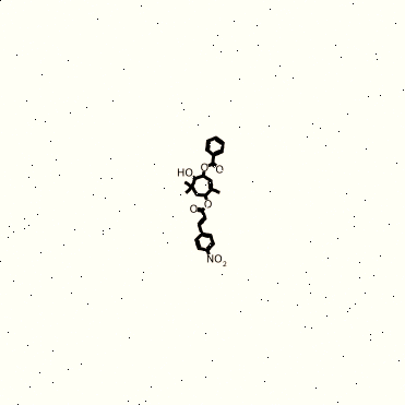 CC1=CC(OC(=O)c2ccccc2)C(O)C(C)(C)CC1OC(=O)/C=C/c1ccc([N+](=O)[O-])cc1